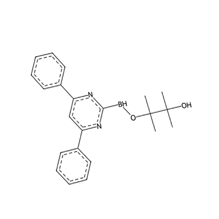 CC(C)(O)C(C)(C)OBc1nc(-c2ccccc2)cc(-c2ccccc2)n1